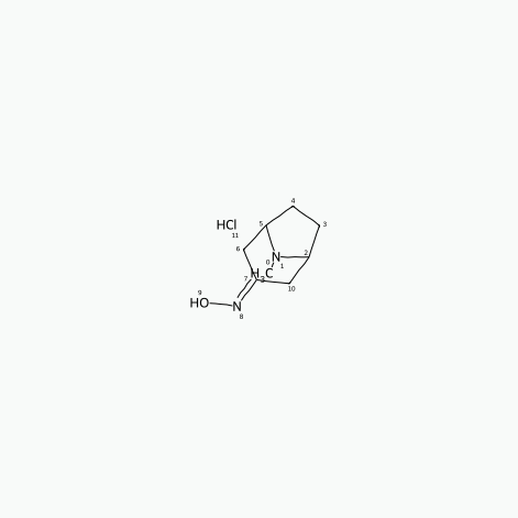 CN1C2CCC1CC(=NO)C2.Cl